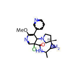 COC1=C(c2cccnc2)C(N2CC[C@](C)(N)C2)C(Cl)(C(=O)NC(C)C2CC2)C=N1